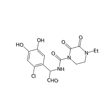 CCN1CCN(C(=O)NC([C]=O)c2cc(O)c(O)cc2Cl)C(=O)C1=O